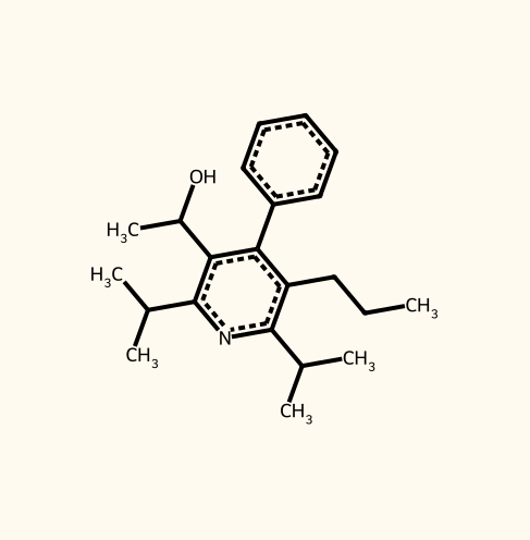 CCCc1c(C(C)C)nc(C(C)C)c(C(C)O)c1-c1ccccc1